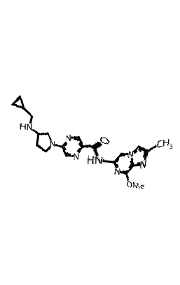 COc1nc(NC(=O)c2cnc(N3CCC(NCC4CC4)C3)cn2)cn2cc(C)nc12